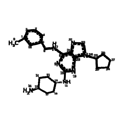 Cc1cccc(CNc2nc(N[C@H]3CC[C@H](N)CC3)nc3c2ncn3C2CCCC2)c1